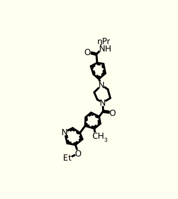 CCCNC(=O)c1ccc(N2CCN(C(=O)c3ccc(-c4cncc(OCC)c4)c(C)c3)CC2)cc1